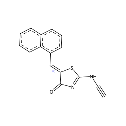 C#CNC1=NC(=O)/C(=C/c2cccc3ccccc23)S1